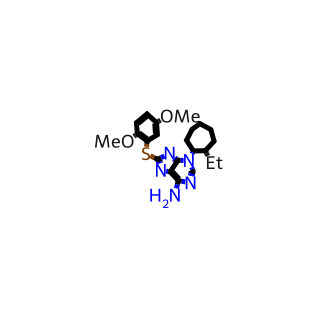 CCC1CCCCCC1n1cnc(N)c2nc(Sc3cc(OC)ccc3OC)nc1-2